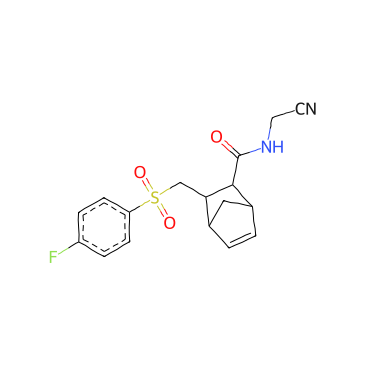 N#CCNC(=O)C1C2C=CC(C2)C1CS(=O)(=O)c1ccc(F)cc1